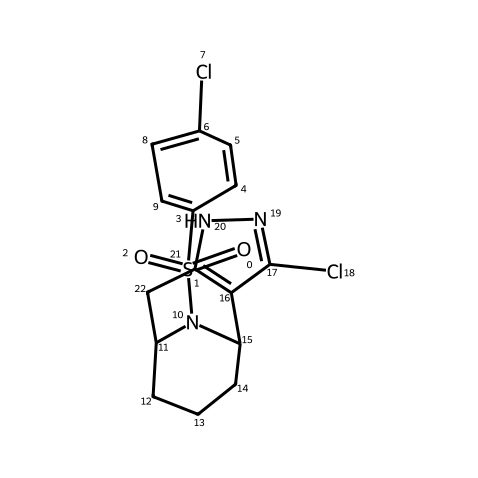 O=S(=O)(c1ccc(Cl)cc1)N1C2CCCC1c1c(Cl)n[nH]c1C2